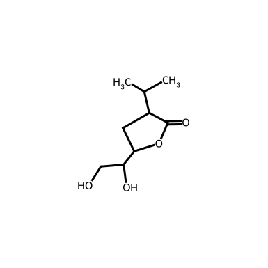 CC(C)C1CC(C(O)CO)OC1=O